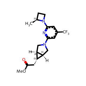 COC(=O)C[C@@H]1[C@H]2CN(c3cc(C(F)(F)F)cc(N4CC[C@@H]4C)n3)C[C@@H]12